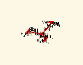 CNCc1ccc2cc3ccc(N(C)C)cc3[n+](CCCCCC(=O)NCCCCCNC(=O)CCCCCNc3nc(NCCCCCC(=O)NCCCCCC(=O)CCCCC[n+]4c5cc(N(C)C)ccc5cc5ccc(N(C)C)cc54)nc(NCCNC(=O)C[n+]4c5cc(N(C)C)ccc5cc5ccc(N(C)C)cc54)n3)c2c1